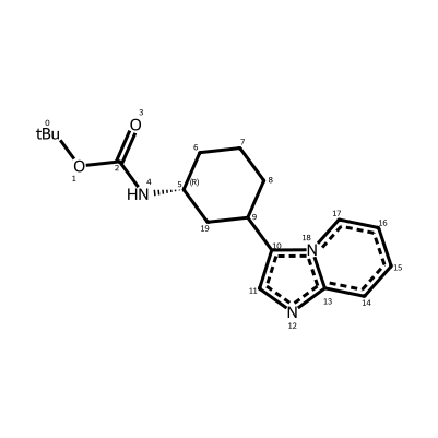 CC(C)(C)OC(=O)N[C@@H]1CCCC(c2cnc3ccccn23)C1